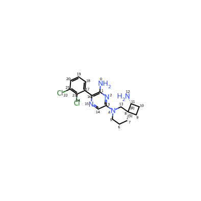 Nc1nc(N2CCC[C@]3(CC[C@H]3N)C2)cnc1-c1cccc(Cl)c1Cl